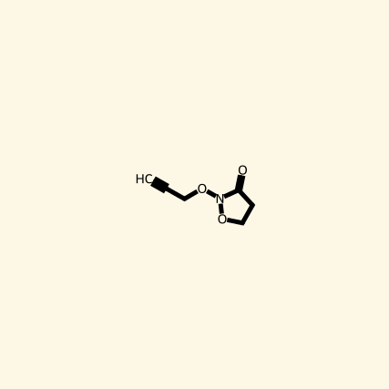 C#CCON1OCCC1=O